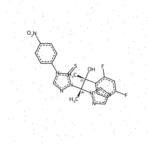 C[C@@](n1cncn1)(n1ncn(-c2ccc([N+](=O)[O-])cc2)c1=S)[C@](C)(O)c1ccc(F)cc1F